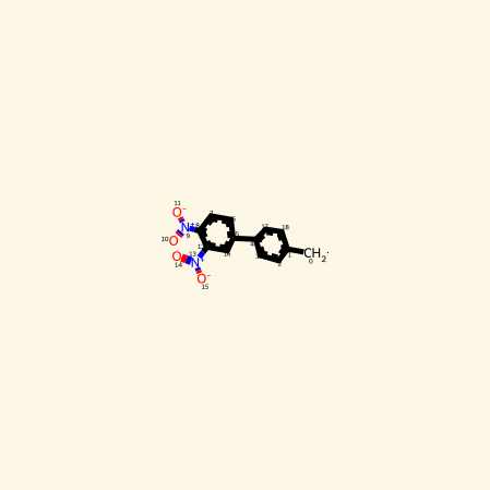 [CH2]c1ccc(-c2ccc([N+](=O)[O-])c([N+](=O)[O-])c2)cc1